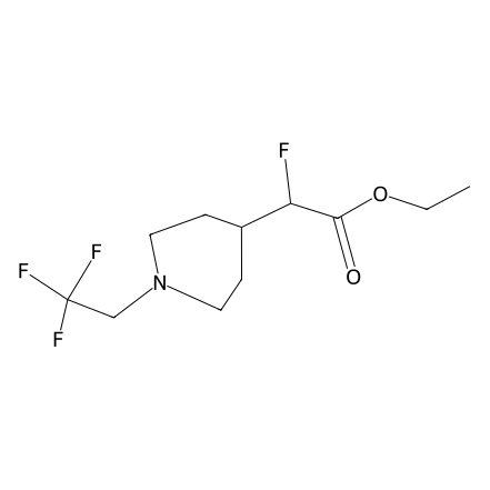 CCOC(=O)C(F)C1CCN(CC(F)(F)F)CC1